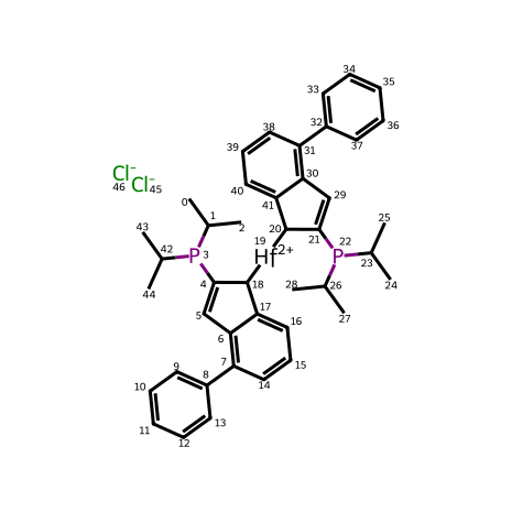 CC(C)P(C1=Cc2c(-c3ccccc3)cccc2[CH]1[Hf+2][CH]1C(P(C(C)C)C(C)C)=Cc2c(-c3ccccc3)cccc21)C(C)C.[Cl-].[Cl-]